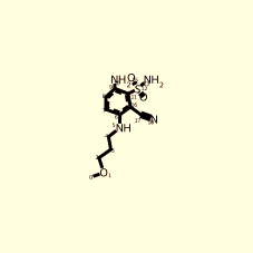 COCCCNc1ccc(N)c(S(N)(=O)=O)c1C#N